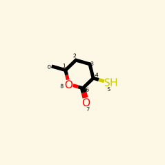 CC1CCC(S)C(=O)O1